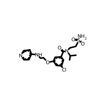 CC(C)N(CCS(N)(=O)=O)C(=O)c1cc(Cl)cc(OCCNc2ccncc2)c1